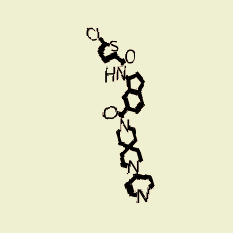 O=C(NC1CCc2ccc(C(=O)N3CCC4(CC3)CCN(c3ccncc3)CC4)cc21)c1ccc(Cl)s1